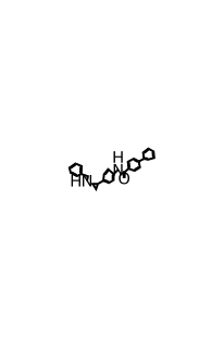 O=C(Nc1ccc(C2CC2NCc2ccccc2)cc1)c1ccc(-c2ccccc2)cc1